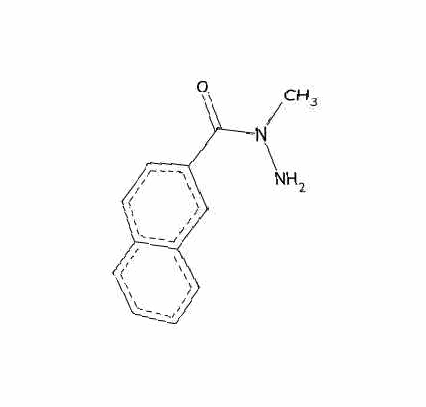 CN(N)C(=O)c1ccc2ccccc2c1